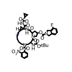 CC(C)(C)OC(=O)N[C@H]1CN(S(=O)(=O)c2ccccc2[N+](=O)[O-])CCC/C=C\[C@@H]2CC2(C(=O)NS(=O)(=O)C2CC2)NC(=O)C2C[C@@H](OC(=O)N3Cc4cccc(F)c4C3)CN2C1=O